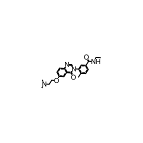 CCNC(=O)c1ccc(C)c(-n2cnc3ccc(OCCN(C)C)cc3c2=O)c1